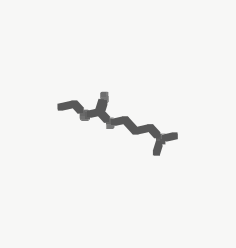 CCOC(=S)SCCCN(C)C